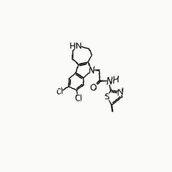 Cc1cnc(NC(=O)Cn2c3c(c4cc(Cl)c(Cl)cc42)CCNCC3)s1